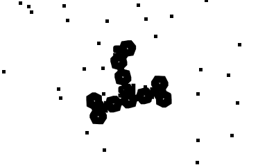 c1ccc2c(c1)sc1ccc(-c3ccc(-c4nc5c(-c6ccc(-n7c8ccccc8c8ccccc87)cc6)ccc(-c6ccc(-n7c8ccccc8c8ccccc87)cc6)c5s4)cc3)cc12